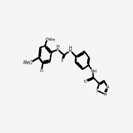 COc1cc(OC)c(NC(=S)Nc2ccc(NC(=O)c3cnns3)cc2)cc1Cl